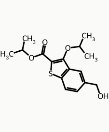 CC(C)OC(=O)c1sc2ccc(CO)cc2c1OC(C)C